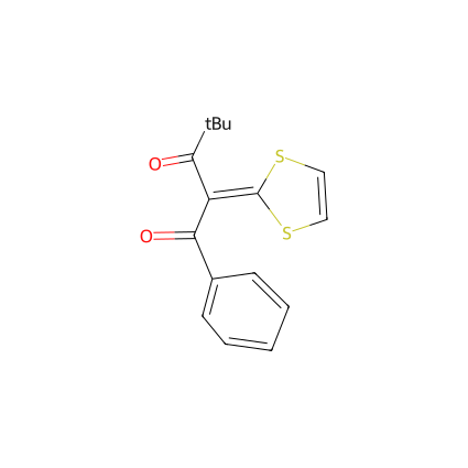 CC(C)(C)C(=O)C(C(=O)c1ccccc1)=C1SC=CS1